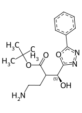 CC(C)(C)OC(=O)C(CCN)[C@H](O)c1nnc(-c2ccccc2)o1